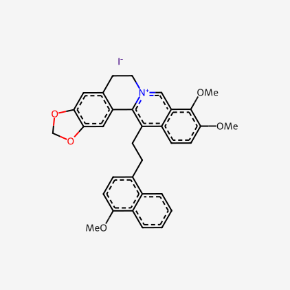 COc1ccc2c(CCc3ccc(OC)c4ccccc34)c3[n+](cc2c1OC)CCc1cc2c(cc1-3)OCO2.[I-]